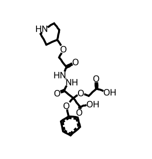 O=C(O)COC(Oc1ccccc1)(C(=O)O)C(=O)NNC(=O)COC1CCNCC1